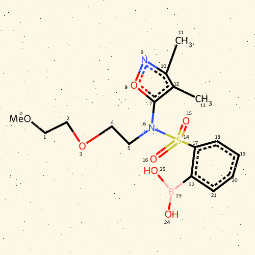 COCCOCCN(c1onc(C)c1C)S(=O)(=O)c1ccccc1B(O)O